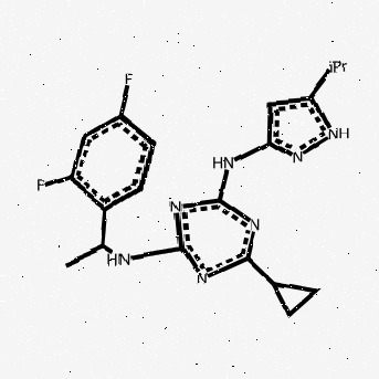 CC(C)c1cc(Nc2nc(NC(C)c3ccc(F)cc3F)nc(C3CC3)n2)n[nH]1